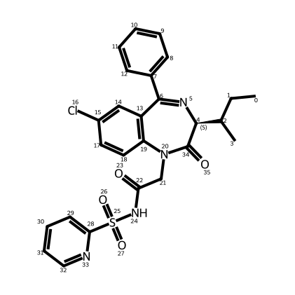 CCC(C)[C@@H]1N=C(c2ccccc2)c2cc(Cl)ccc2N(CC(=O)NS(=O)(=O)c2ccccn2)C1=O